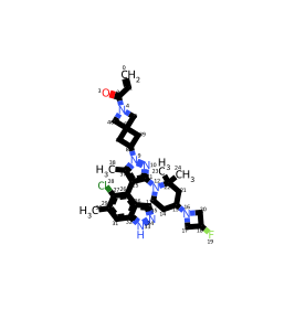 C=CC(=O)N1CC2(CC(n3nc(N4CCC(N5CC(F)C5)CC4(C)C)c(-c4c(Cl)c(C)cc5[nH]ncc45)c3C)C2)C1